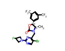 C[C@H]1[C@@H](c2cc(C(F)(F)F)cc(C(F)(F)F)c2)OC(=O)N1Cc1nc(N2CC(F)C2)ncc1Br